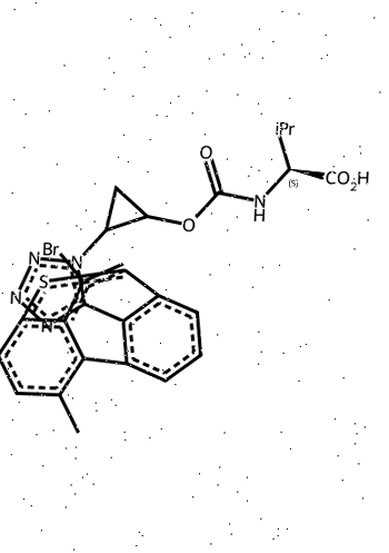 Cc1ccc2sc3c(Br)c2c1-c1cccc-3c1-c1nnnn1C1CC1OC(=O)N[C@H](C(=O)O)C(C)C